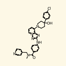 CN(Cc1ccncc1)C(=O)c1ccc(Nc2nc3c(N4CCC(O)(c5ccc(Cl)cc5)CC4)cccn3n2)cc1